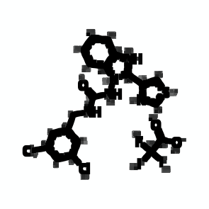 O=C(NCc1cc(Cl)cc(Cl)c1)N[n+]1c(-c2cscn2)[nH]c2ccccc21.O=C([O-])C(F)(F)F